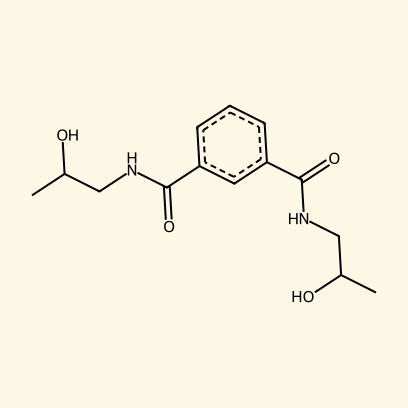 CC(O)CNC(=O)c1cccc(C(=O)NCC(C)O)c1